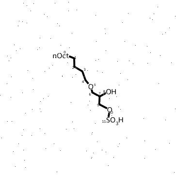 CCCCCCCCCCCCOCC(O)COS(=O)(=O)O